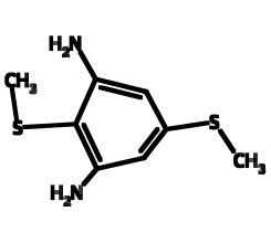 CSc1cc(N)c(SC)c(N)c1